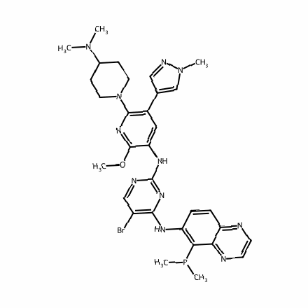 COc1nc(N2CCC(N(C)C)CC2)c(-c2cnn(C)c2)cc1Nc1ncc(Br)c(Nc2ccc3nccnc3c2P(C)C)n1